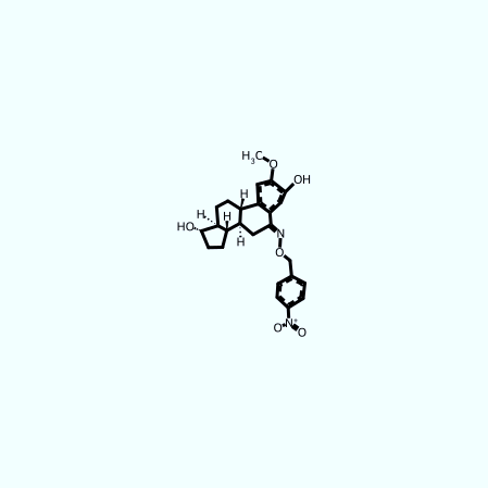 COc1cc2c(cc1O)/C(=N/OCc1ccc([N+](=O)[O-])cc1)C[C@H]1[C@@H]3CC[C@H](O)[C@H]3CC[C@H]21